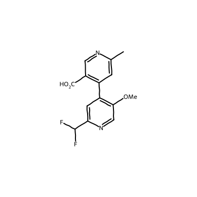 COc1cnc(C(F)F)cc1-c1cc(C)ncc1C(=O)O